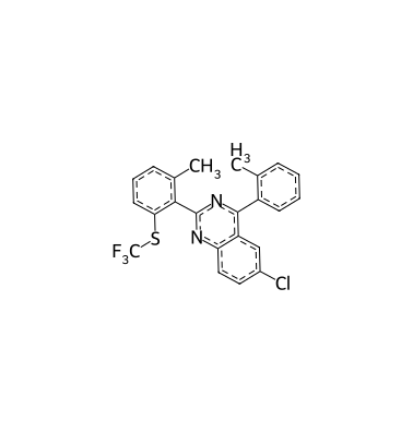 Cc1ccccc1-c1nc(-c2c(C)cccc2SC(F)(F)F)nc2ccc(Cl)cc12